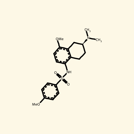 COc1ccc(S(=O)(=O)Nc2ccc(OC)c3c2CC[C@H](N(C)C)C3)cc1